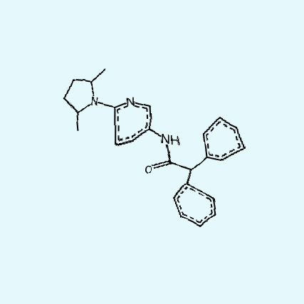 CC1CCC(C)N1c1ccc(NC(=O)C(c2ccccc2)c2ccccc2)cn1